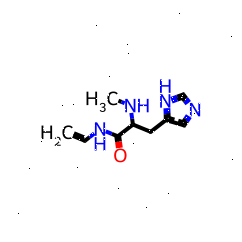 C=CNC(=O)C(Cc1cnc[nH]1)NC